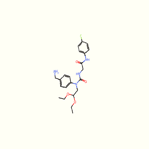 CCOC(CN(C(=O)NCC(=O)Nc1ccc(F)cc1)c1ccc(CN)cc1)OCC